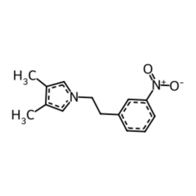 Cc1cn(CCc2cccc([N+](=O)[O-])c2)cc1C